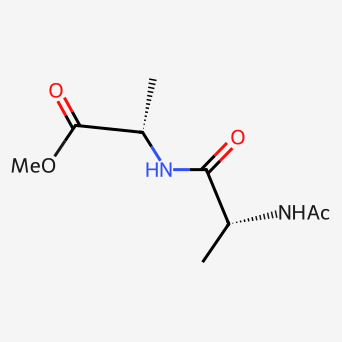 COC(=O)[C@H](C)NC(=O)[C@@H](C)NC(C)=O